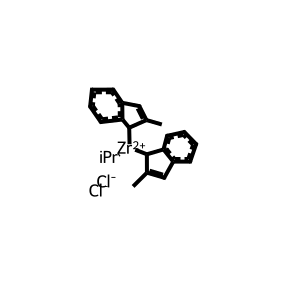 CC1=Cc2ccccc2[CH]1[Zr+2]([CH](C)C)[CH]1C(C)=Cc2ccccc21.[Cl-].[Cl-]